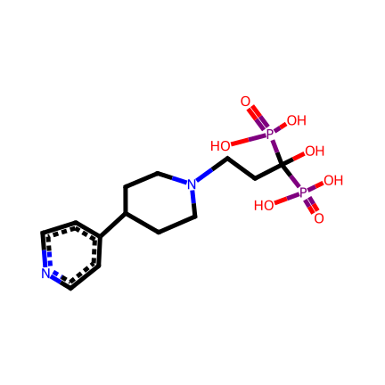 O=P(O)(O)C(O)(CCN1CCC(c2ccncc2)CC1)P(=O)(O)O